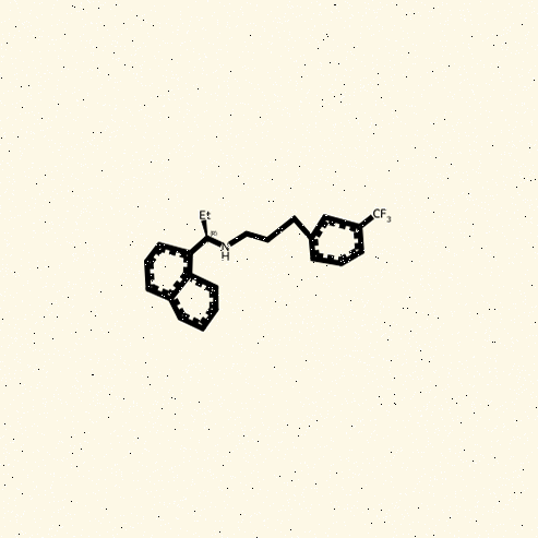 CC[C@@H](NCCCc1cccc(C(F)(F)F)c1)c1cccc2ccccc12